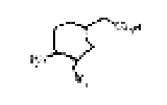 NC1CCC(CC(=O)O)CC1N